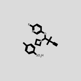 C#CC(C)(C)C(Oc1ccc(F)nc1)N1CCC1.Cc1ccc(S(=O)(=O)O)cc1